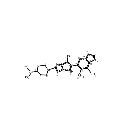 CCN(C)C1CCN(c2nc3c(C(C)C)c(-c4cn5ncnc5c(C)c4C)[nH]c3s2)CC1